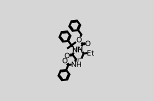 CCC(C[C@H](NC(=O)c1ccccc1)C(=O)NC(C)(C)c1ccccc1)NC(=O)OCc1ccccc1